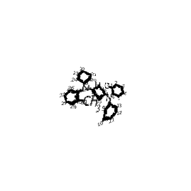 Cc1ccccc1N(c1ccccc1)c1ccc(N(c2ccccc2)c2ccccc2C)cc1